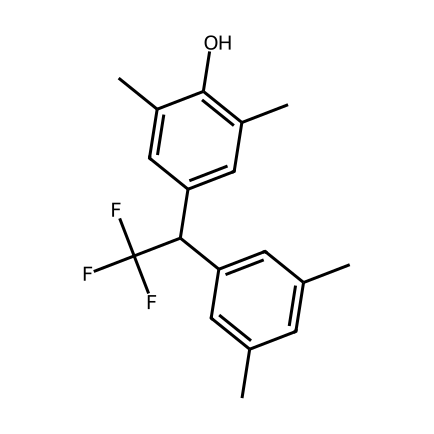 Cc1cc(C)cc(C(c2cc(C)c(O)c(C)c2)C(F)(F)F)c1